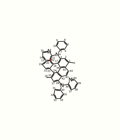 Cc1cc(N(c2ccccc2)c2ccccn2)c2c3ccccc3c3c(C)cc(N(c4ccccc4)c4ccccn4)c4ccc1c2c43